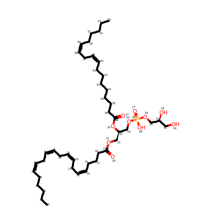 CCCCC/C=C\C/C=C\C/C=C\C/C=C\CCCC(=O)OC[C@H](COP(=O)(O)OC[C@@H](O)CO)OC(=O)CCCCCCC/C=C\C/C=C\CCCCC